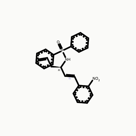 C=CC[C@H](/C=C/c1ccccc1[N+](=O)[O-])NP(=O)(c1ccccc1)c1ccccc1